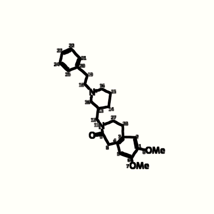 COc1cc2c(cc1OC)CC(=O)N(CC1CCCN(CCc3ccccc3)C1)CC2